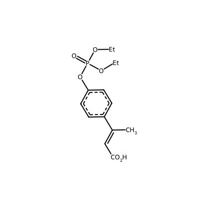 CCOP(=O)(OCC)Oc1ccc(/C(C)=C/C(=O)O)cc1